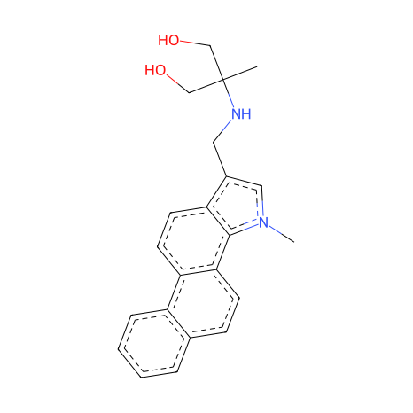 Cn1cc(CNC(C)(CO)CO)c2ccc3c4ccccc4ccc3c21